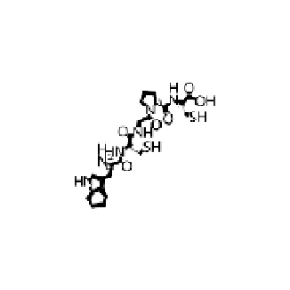 N[C@@H](Cc1c[nH]c2ccccc12)C(=O)N[C@@H](CS)C(=O)NCC(=O)N1CCC[C@H]1C(=O)N[C@@H](CS)C(=O)O